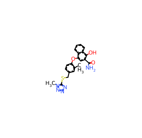 Cc1cc(CSc2nnnn2C)ccc1Oc1cc(C(N)=O)c(O)c2ccccc12